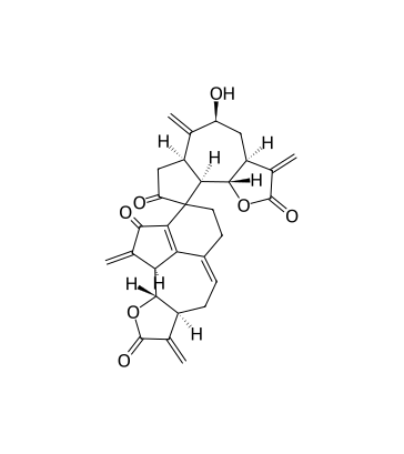 C=C1C(=O)C2=C3C(=CC[C@H]4C(=C)C(=O)O[C@@H]4[C@@H]13)CCC21C(=O)C[C@H]2C(=C)[C@@H](O)C[C@H]3C(=C)C(=O)O[C@@H]3[C@H]21